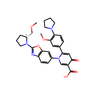 COC[C@H]1CCCN1c1nc2ccc(-n3cc(C(=O)O)c(=O)cc3-c3ccc(N4CCCC4)c(OC)c3)cc2o1